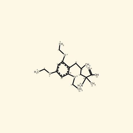 CCOc1cc(OCC)c(CC(C)CC(C)(N)C(=O)O)c(OCC)c1